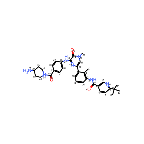 Cc1c(NC(=O)c2ccc(C(C)(C)C)nc2)cccc1-c1cn(C)c(=O)c(Nc2ccc(C(=O)N3CCC(N)CC3)cc2)n1